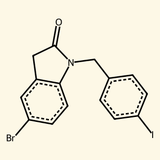 O=C1Cc2cc(Br)ccc2N1Cc1ccc(I)cc1